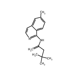 C=C(CC(C)(C)C)Nc1nccc2cc(C)ccc12